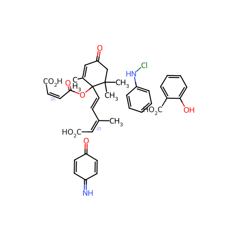 CC1=CC(=O)CC(C)(C)C1(C=C/C(C)=C\C(=O)O)OC(=O)/C=C\C(=O)O.ClNc1ccccc1.N=C1C=CC(=O)C=C1.O=C(O)c1ccccc1O